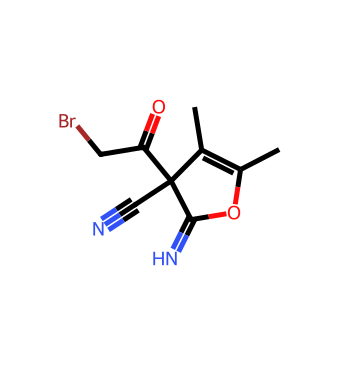 CC1=C(C)C(C#N)(C(=O)CBr)C(=N)O1